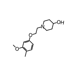 COc1cc(OCCN2CCC(O)CC2)ccc1C